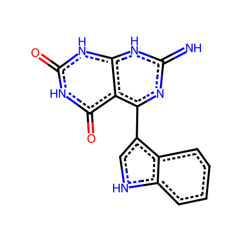 N=c1nc(-c2c[nH]c3ccccc23)c2c(=O)[nH]c(=O)[nH]c2[nH]1